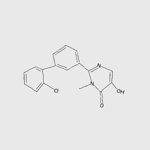 Cn1c(-c2cccc(-c3ccccc3Cl)c2)ncc(O)c1=O